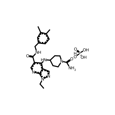 CCn1ncc2c(NC3CCN(C(N)=O)CC3)c(C(=O)NCc3ccc(C)c(C)c3)cnc21.O=P(O)(O)O